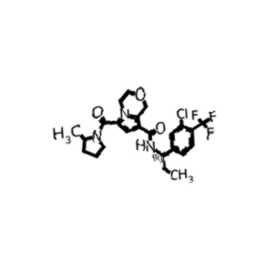 CC[C@@H](NC(=O)c1cc(C(=O)N2CCCC2C)n2c1COCC2)c1ccc(C(F)(F)F)c(Cl)c1